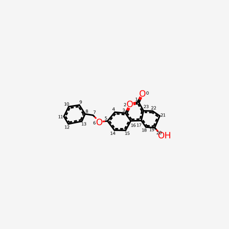 O=c1oc2cc(OCc3ccccc3)ccc2c2cc(O)ccc12